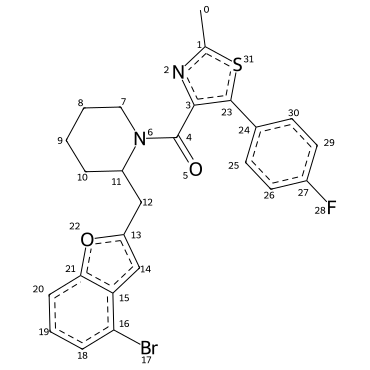 Cc1nc(C(=O)N2CCCCC2Cc2cc3c(Br)cccc3o2)c(-c2ccc(F)cc2)s1